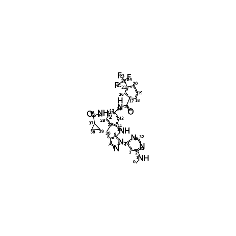 CNc1cc(-n2nccc2Nc2cc(NC(=O)c3cccc(C(F)(F)F)c3)ccc2C)ncn1.NC(=O)C1CC1